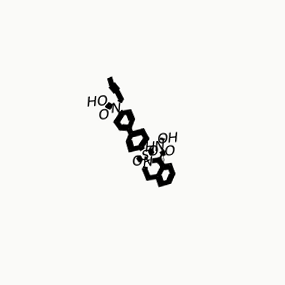 CC#CCN(C(=O)O)c1ccc(-c2ccc(S(=O)(=O)N3CCc4ccccc4[C@@H]3C(=O)NO)cc2)cc1